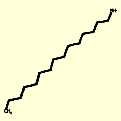 CCCCCCCCCCCCCCC[NH]